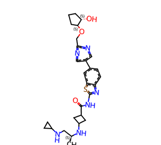 C[C@@H](CNC1CC1)NC1CC(C(=O)Nc2nc3ccc(-c4cnc(CO[C@H]5CCC[C@@H]5O)nc4)cc3s2)C1